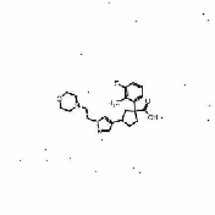 Cc1c(F)cccc1C1(C(=O)O)CCC(c2cnn(CCN3CCOCC3)c2)C1